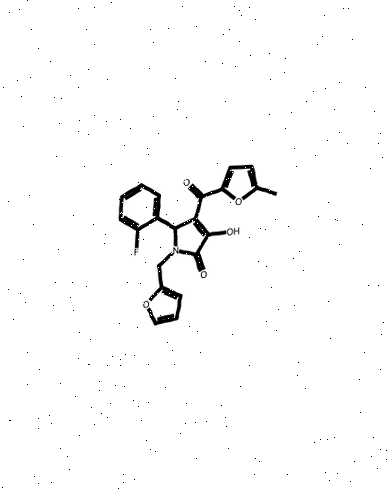 Cc1ccc(C(=O)C2=C(O)C(=O)N(Cc3ccco3)C2c2ccccc2F)o1